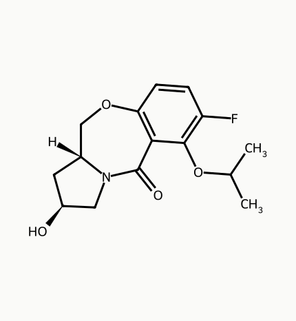 CC(C)Oc1c(F)ccc2c1C(=O)N1C[C@@H](O)C[C@@H]1CO2